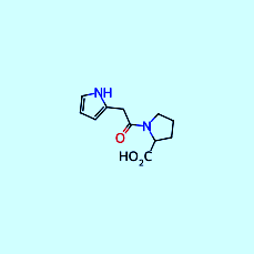 O=C(O)C1CCCN1C(=O)Cc1ccc[nH]1